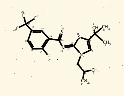 CC(C)Cn1cc(C(C)(C)C)s/c1=N\C(=S)c1cc(C(F)(F)F)ccc1F